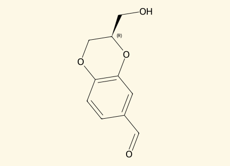 O=Cc1ccc2c(c1)O[C@H](CO)CO2